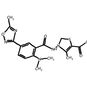 CC1=C(C(=O)O)SCN1NC(=O)c1cc(-c2noc(C)n2)ccc1N(C)C